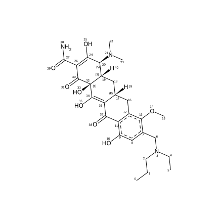 CCCN(CC)Cc1cc(O)c2c(c1OC)C[C@H]1C[C@H]3[C@H](N(C)C)C(O)=C(C(N)=O)C(=O)[C@@]3(O)C(O)=C1C2=O